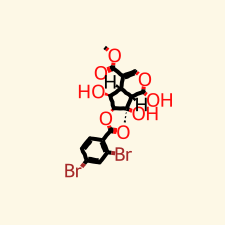 COC(=O)C1=COC(O)[C@H]2[C@@H]1[C@H](O)[C@H](OC(=O)c1ccc(Br)cc1Br)[C@]2(C)O